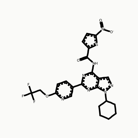 O=C(Nc1nc(-c2ccc(OCC(F)(F)F)nc2)nc2c1cnn2C1CCCCC1)c1ccc([N+](=O)[O-])s1